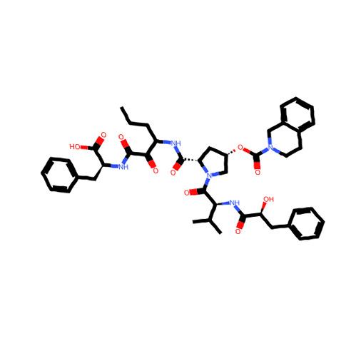 CCCC(NC(=O)[C@@H]1C[C@H](OC(=O)N2CCc3ccccc3C2)CN1C(=O)[C@@H](NC(=O)[C@@H](O)Cc1ccccc1)C(C)C)C(=O)C(=O)N[C@@H](Cc1ccccc1)C(=O)O